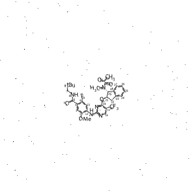 COc1cc(C(=O)NCC(C)(C)C)c(F)cc1Nc1ncc(C(F)(F)F)c(O[C@@H]2Cc3ccccc3[C@H]2N(C)S(C)(=O)=O)n1